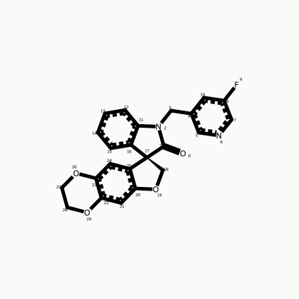 O=C1N(Cc2cncc(F)c2)c2ccccc2[C@]12COc1cc3c(cc12)OCCO3